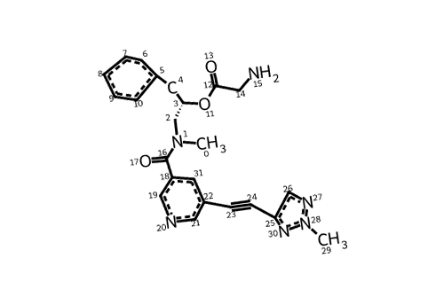 CN(C[C@H](Cc1ccccc1)OC(=O)CN)C(=O)c1cncc(C#Cc2cnn(C)n2)c1